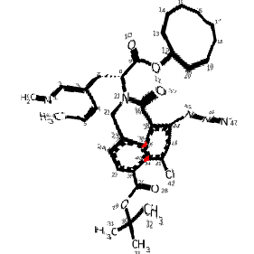 C=N/C=C(\C=C/C)C[C@H](C(=O)OC1CCCCCCCC1)N(Cc1ccc(C(=O)OC(C)(C)C)cc1)C(=O)c1ccc(Cl)cc1N=[N+]=[N-]